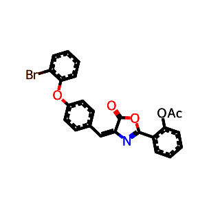 CC(=O)Oc1ccccc1C1=NC(=Cc2ccc(Oc3ccccc3Br)cc2)C(=O)O1